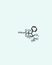 CCCCCC[Si](Cl)(Cl)C(C)(C)C(c1ccccc1)C(C)(C)[SiH](Cl)Cl